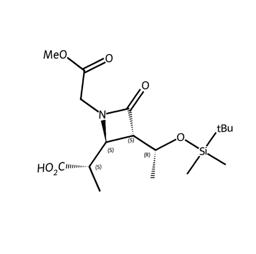 COC(=O)CN1C(=O)[C@H]([C@@H](C)O[Si](C)(C)C(C)(C)C)[C@H]1[C@H](C)C(=O)O